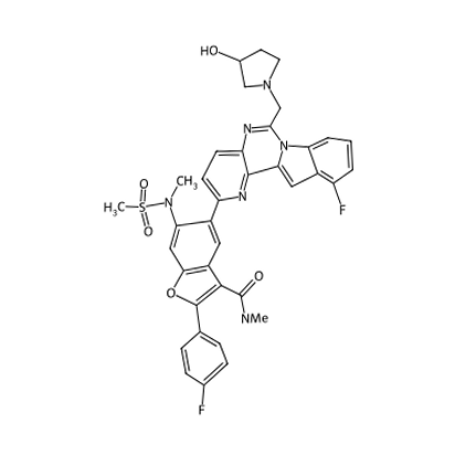 CNC(=O)c1c(-c2ccc(F)cc2)oc2cc(N(C)S(C)(=O)=O)c(-c3ccc4nc(CN5CCC(O)C5)n5c6cccc(F)c6cc5c4n3)cc12